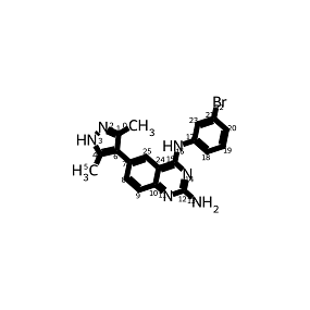 Cc1n[nH]c(C)c1-c1ccc2nc(N)nc(Nc3cccc(Br)c3)c2c1